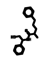 CC(CCCc1ccccc1)C(=O)NC(CO)c1ccccc1